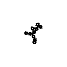 c1ccc(-c2ccc(N(c3ccc(-c4ccc5ccccc5c4)cc3)c3ccc(-c4ccc(-n5c6ccccc6c6ccccc65)cc4-c4ccccc4)cc3)cc2)cc1